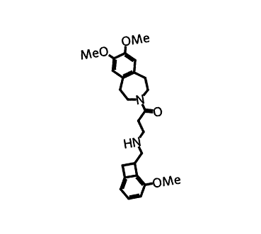 COc1cc2c(cc1OC)CCN(C(=O)CCNCC1Cc3cccc(OC)c31)CC2